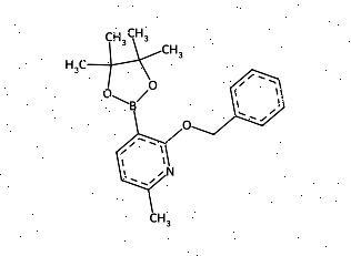 Cc1ccc(B2OC(C)(C)C(C)(C)O2)c(OCc2ccccc2)n1